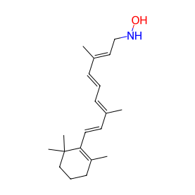 CC(C=CC1=C(C)CCCC1(C)C)=CC=CC(C)=CCNO